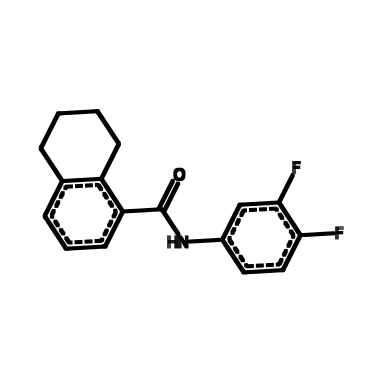 O=C(Nc1ccc(F)c(F)c1)c1cccc2c1CCCC2